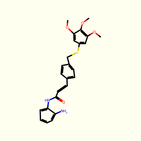 COc1cc(SCc2ccc(/C=C/C(=O)Nc3ccccc3N)cc2)cc(OC)c1OC